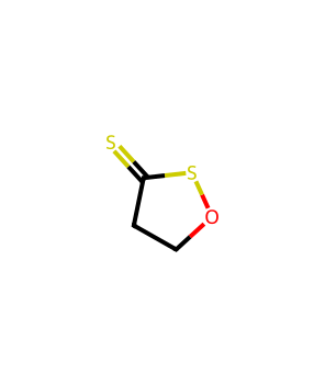 S=C1CCOS1